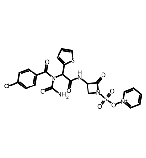 NC(=O)N(C(=O)c1ccc(Cl)cc1)C(C(=O)NC1CN(S(=O)(=O)O[n+]2ccccc2)C1=O)c1cccs1